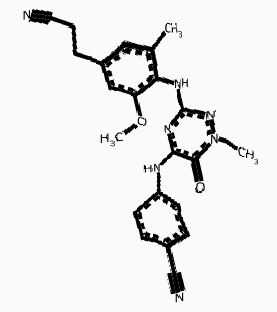 COc1cc(CCC#N)cc(C)c1Nc1nc(Nc2ccc(C#N)cc2)c(=O)n(C)n1